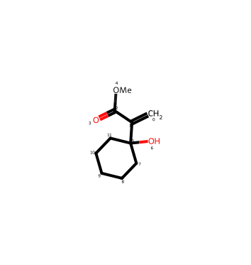 C=C(C(=O)OC)C1(O)CCCCC1